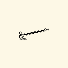 CCCCCCCCCCCC(=O)OCCCCCCCCCCCCO